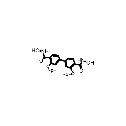 CCCSc1cc(-c2ccc(C(=O)NO)c(SCCC)c2)ccc1C(=O)NO